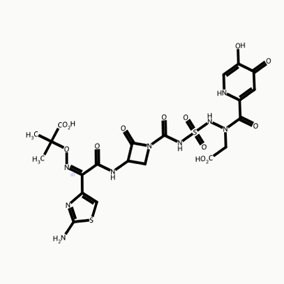 CC(C)(O/N=C(\C(=O)NC1CN(C(=O)NS(=O)(=O)NN(CC(=O)O)C(=O)c2cc(=O)c(O)c[nH]2)C1=O)c1csc(N)n1)C(=O)O